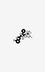 CC(C)OCC(C)(Cc1ccccc1)NC(=O)c1cnc2c(F)cccc2c1